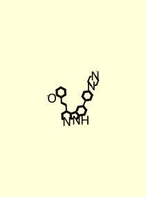 COc1ccccc1/C=C/c1ccnc2[nH]c3ccc(-c4ccc(N5CCN(C)CC5)cc4)cc3c12